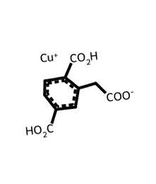 O=C([O-])Cc1cc(C(=O)O)ccc1C(=O)O.[Cu+]